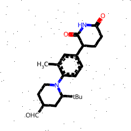 Cc1cc(C2CCC(=O)NC2=O)ccc1N1CCC(C=O)CC1C(C)(C)C